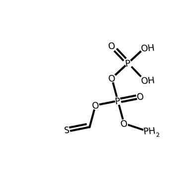 O=P(O)(O)OP(=O)(OP)OC=S